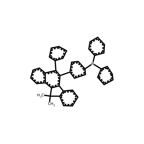 CC1(C)c2ccccc2-c2c(-c3ccc(N(c4ccccc4)c4ccccc4)cc3)c(-c3ccccc3)c3ccccc3c21